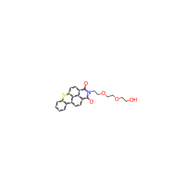 O=c1c2ccc3sc4ccccc4c4ccc(c(=O)n1CCOCCOCCO)c2c34